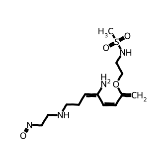 C=C(/C=C\C(N)=C/CCNCCN=O)OCCNS(C)(=O)=O